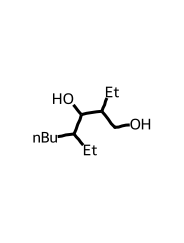 CCCCC(CC)C(O)C(CC)CO